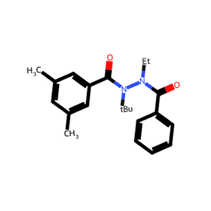 CCN(C(=O)c1ccccc1)N(C(=O)c1cc(C)cc(C)c1)C(C)(C)C